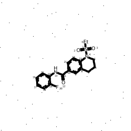 CCS(=O)(=O)N1CCCc2cc(C(=O)Nc3ccccc3F)ccc21